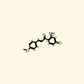 COc1ccc(C=CC(=O)c2ccc(Cl)cc2O)cc1